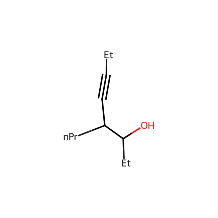 [CH2]CC#CC(CCC)C(O)CC